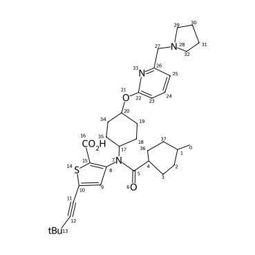 CC1CCC(C(=O)N(c2cc(C#CC(C)(C)C)sc2C(=O)O)C2CCC(Oc3cccc(CN4CCCC4)n3)CC2)CC1